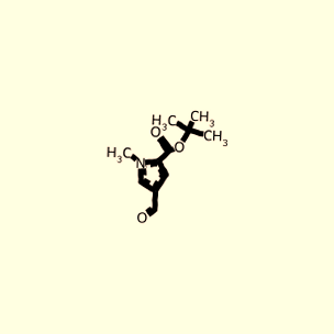 Cn1cc(C=O)cc1C(=O)OC(C)(C)C